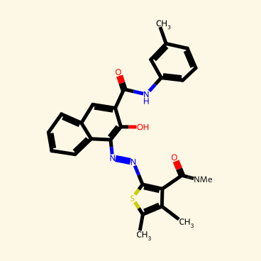 CNC(=O)c1c(/N=N/c2c(O)c(C(=O)Nc3cccc(C)c3)cc3ccccc23)sc(C)c1C